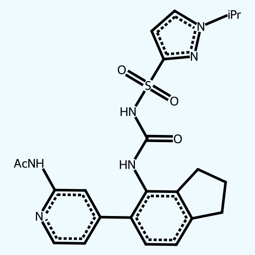 CC(=O)Nc1cc(-c2ccc3c(c2NC(=O)NS(=O)(=O)c2ccn(C(C)C)n2)CCC3)ccn1